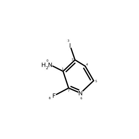 Nc1c(I)ccnc1F